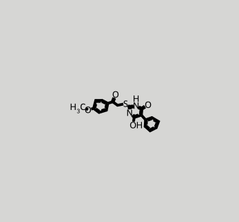 COc1ccc(C(=O)CSc2nc(O)c(-c3ccccc3)c(=O)[nH]2)cc1